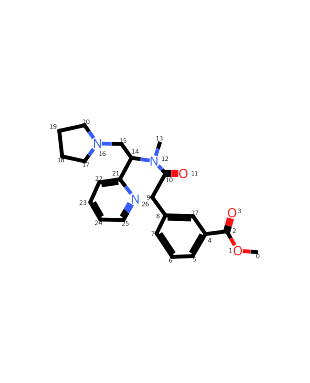 COC(=O)c1cccc(CC(=O)N(C)C(CN2CCCC2)c2ccccn2)c1